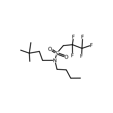 CCCCN(CCC(C)(C)C)S(=O)(=O)CC(F)(F)C(F)(F)F